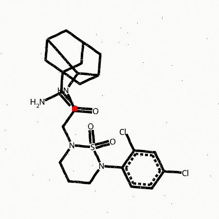 NC(=O)C12CC3CC(C1)C(NC(=O)CN1CCCN(c4ccc(Cl)cc4Cl)S1(=O)=O)C(C3)C2